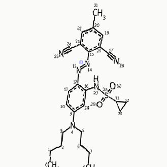 CCCCN(CCCC)c1ccc(/N=N/c2c(C#N)cc(C)cc2C#N)c(NS(=O)(=O)C2CC2)c1